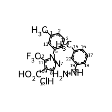 Cc1cccc(-n2ncc(C(=O)O)c2C(F)(F)F)c1.Cc1cccc(NN)c1.Cl